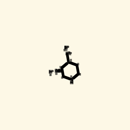 Br.CCCN1CCNCC1.[H+].[H+]